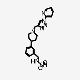 O=[SH](=O)NCc1cccc(C2CCN(Cc3cn(-c4ccccn4)nn3)CC2)c1